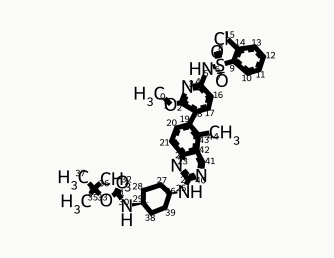 COc1nc(NS(=O)(=O)c2ccccc2Cl)ccc1-c1ccc2nc(N[C@H]3CC[C@H](NC(=O)OC(C)(C)C)CC3)ncc2c1C